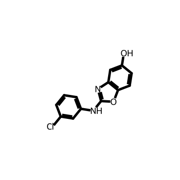 Oc1ccc2oc(Nc3cccc(Cl)c3)nc2c1